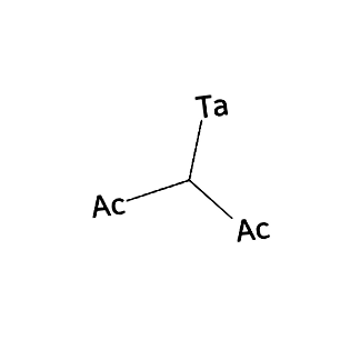 CC(=O)[CH]([Ta])C(C)=O